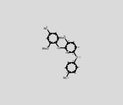 COc1cc(C#N)ccc1Oc1nc(Oc2ccc(C#N)cc2)ccc1OC